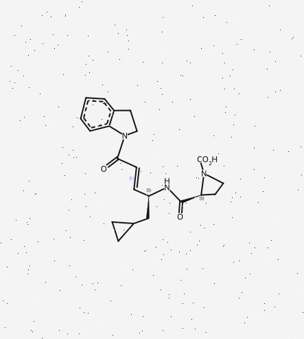 O=C(N[C@H](/C=C/C(=O)N1CCc2ccccc21)CC1CC1)[C@@H]1CCN1C(=O)O